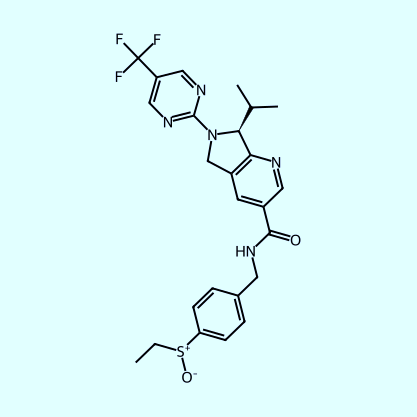 CC[S+]([O-])c1ccc(CNC(=O)c2cnc3c(c2)CN(c2ncc(C(F)(F)F)cn2)[C@H]3C(C)C)cc1